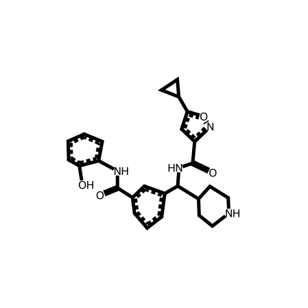 O=C(Nc1ccccc1O)c1cccc(C(NC(=O)c2cc(C3CC3)on2)C2CCNCC2)c1